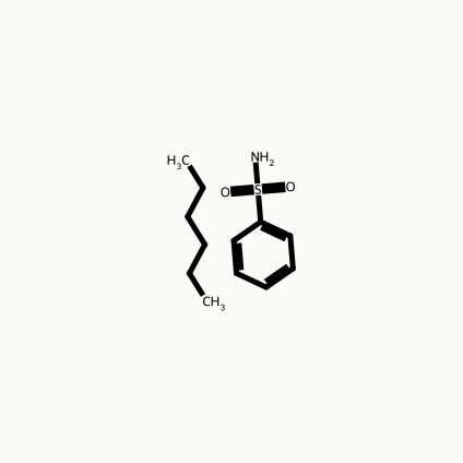 CCCCCC.NS(=O)(=O)c1ccccc1